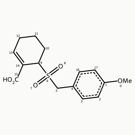 COc1ccc(CS(=O)(=O)C2CCCC=C2C(=O)O)cc1